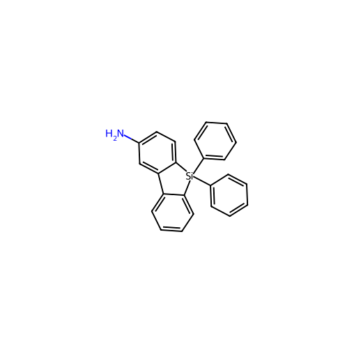 Nc1ccc2c(c1)-c1ccccc1[Si]2(c1ccccc1)c1ccccc1